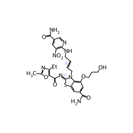 CCc1nc(C)oc1C(=O)/N=c1\sc2cc(C(N)=O)cc(OCCCO)c2n1C/C=C/CNc1ncc(C(N)=O)cc1[N+](=O)[O-]